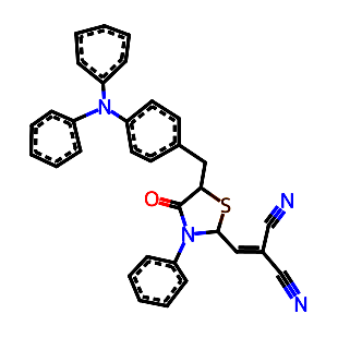 N#CC(C#N)=CC1SC(Cc2ccc(N(c3ccccc3)c3ccccc3)cc2)C(=O)N1c1ccccc1